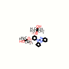 CC(C)(O)C(C)(C)OBc1cc(BOC(C)(C)C(C)(C)O)cc(-n2c3ccccc3n3c4ccccc4nc23)c1